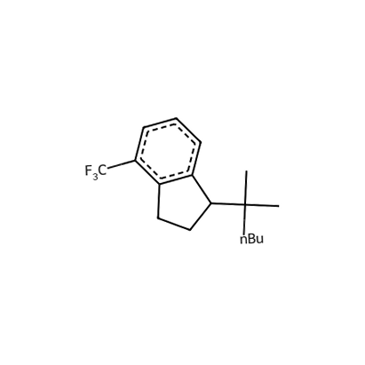 CCCCC(C)(C)C1CCc2c1cccc2C(F)(F)F